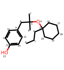 CCCC1(OC(C)(C)Cc2ccc(O)cc2)CCCCC1